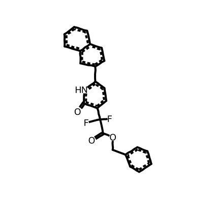 O=C(OCc1ccccc1)C(F)(F)c1ccc(-c2ccc3ccccc3c2)[nH]c1=O